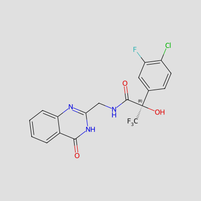 O=C(NCc1nc2ccccc2c(=O)[nH]1)[C@](O)(c1ccc(Cl)c(F)c1)C(F)(F)F